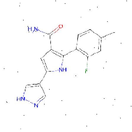 Cc1ccc(-c2[nH]c(-c3cn[nH]c3)cc2C(N)=O)c(F)c1